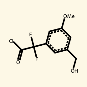 COc1cc(CO)cc(C(F)(F)C(=O)Cl)c1